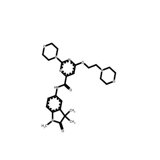 CN1C(=O)C(C)(C)c2cc(NC(=O)c3cc(OCCN4CCOCC4)nc(N4CCOCC4)n3)ccc21